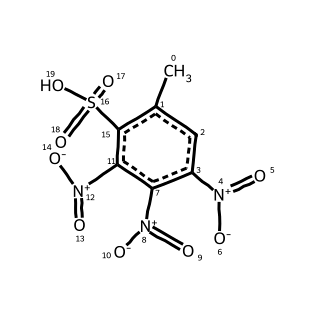 Cc1cc([N+](=O)[O-])c([N+](=O)[O-])c([N+](=O)[O-])c1S(=O)(=O)O